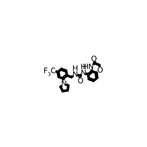 O=C1COc2cccc(NC(=O)NCc3ccc(C(F)(F)F)cc3N3CCCC3)c2N1